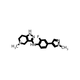 CN1CCc2[nH]nc(Nc3ccc(-c4cnn(C)c4)cc3F)c2C1